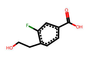 O=C(O)c1ccc(CCO)c(F)c1